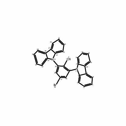 N#Cc1c(-n2c3ccccc3c3ccccc32)cc(Br)cc1-n1c2ccccc2c2ccccc21